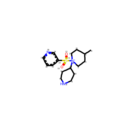 CC1CC[N+](C2CCNCC2)(S(=O)(=O)c2cccnc2)CC1